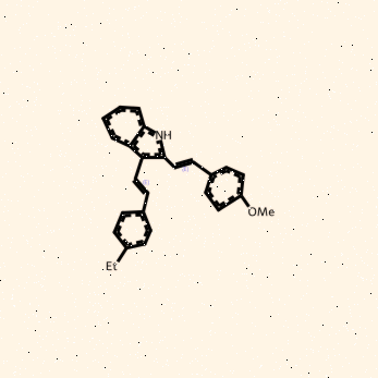 CCc1ccc(/C=C/c2c(/C=C/c3ccc(OC)cc3)[nH]c3ccccc23)cc1